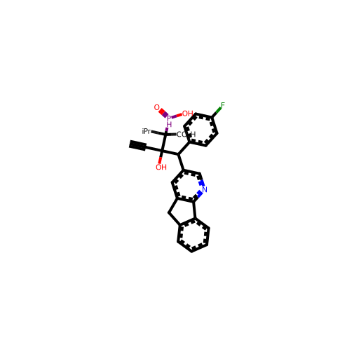 C#CC(O)(C(c1ccc(F)cc1)c1cnc2c(c1)Cc1ccccc1-2)C(C(=O)O)(C(C)C)[PH](=O)O